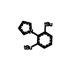 CC(C)(C)c1cccc(C(C)(C)C)c1-n1cccc1